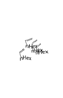 C=CCCCCCC.C=CCCCCCC.C=CCCCCCC.C=CCCCCCC